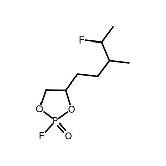 CC(F)C(C)CCC1COP(=O)(F)O1